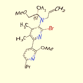 C=CCN(c1c(Br)nc(-c2ccc(C(C)C)nc2OC)c(C)c1C)[C@@H](C)COC